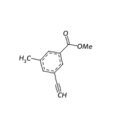 C#Cc1cc(C)cc(C(=O)OC)c1